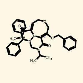 CNC(=O)/C1=C/COC/C(OCc2ccccc2)=C2/C(=O)N(C(C)C)CN(C(c3ccccc3)c3ccccc3)N12